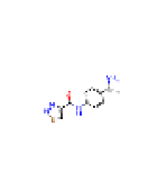 C[C@@H](N)c1ccc(NC(=O)c2csnn2)cc1